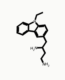 CCn1c2ccccc2c2cc(CC(N)CCN)ccc21